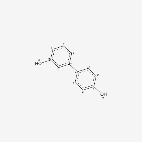 Oc1ccc(-c2[c]ccc(O)c2)cc1